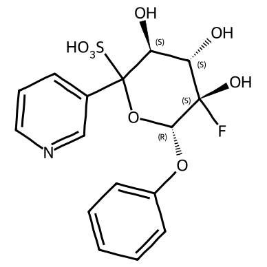 O=S(=O)(O)C1(c2cccnc2)O[C@@H](Oc2ccccc2)[C@@](O)(F)[C@@H](O)[C@@H]1O